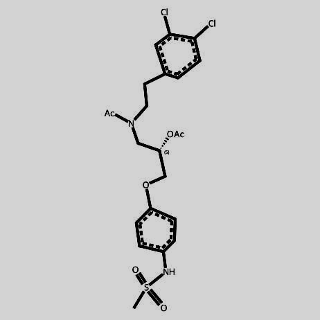 CC(=O)O[C@H](COc1ccc(NS(C)(=O)=O)cc1)CN(CCc1ccc(Cl)c(Cl)c1)C(C)=O